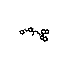 C=Cc1c(/C=C/n2c3ccc4ccccc4c3c3c4ccccc4ccc32)oc2ccc(-c3nc4ccccc4o3)cc12